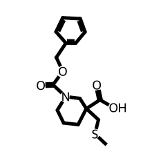 CSCC1(C(=O)O)CCCN(C(=O)OCc2ccccc2)C1